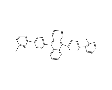 Cc1cccc(-c2ccc(-c3c4ccccc4c(-c4ccc(-c5cnccc5C)cc4)c4ccccc34)cc2)n1